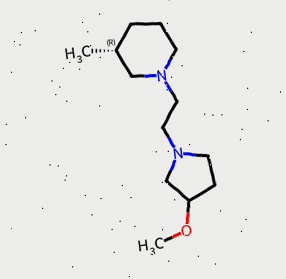 COC1CCN(CCN2CCC[C@@H](C)C2)C1